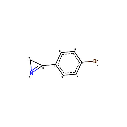 Brc1ccc(C2=NC2)cc1